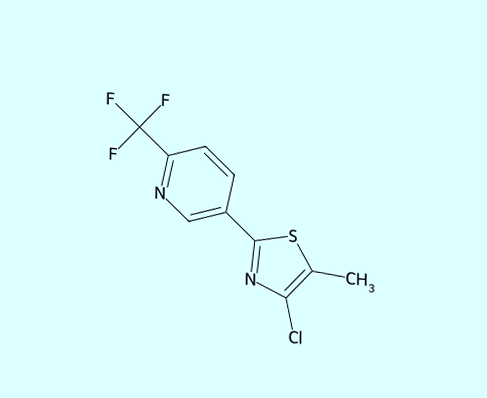 Cc1sc(-c2ccc(C(F)(F)F)nc2)nc1Cl